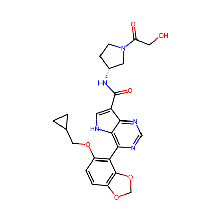 O=C(N[C@@H]1CCN(C(=O)CO)C1)c1c[nH]c2c(-c3c(OCC4CC4)ccc4c3OCO4)ncnc12